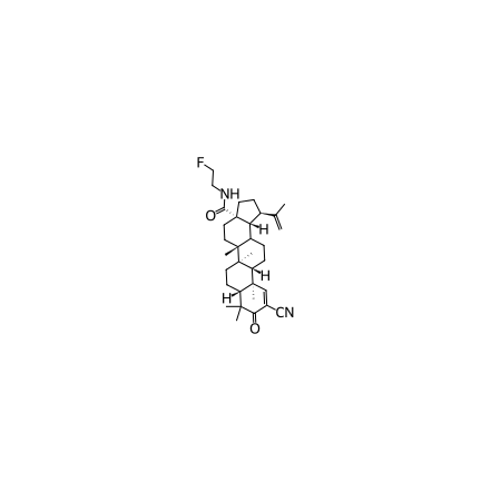 C=C(C)[C@@H]1CC[C@]2(C(=O)NCCF)CC[C@]3(C)C(CC[C@@H]4[C@@]5(C)C=C(C#N)C(=O)C(C)(C)[C@@H]5CC[C@]43C)[C@@H]12